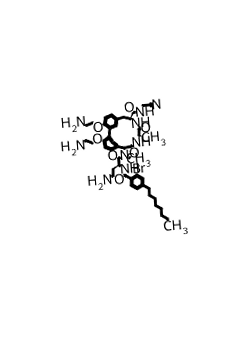 CCCCCCCCc1ccc(C(=O)N[C@@H](CCN)C(=O)N(C)[C@@H]2C(=O)N[C@@H](C)C(=O)N[C@H](C(=O)NCC#N)Cc3ccc(OCCN)c(c3)-c3cc2ccc3OCCN)c(Br)c1